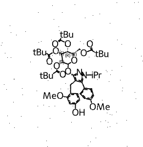 COc1ccc(-c2c(Cc3ccc(O)cc3OC)c(OC3O[C@H](COC(=O)C(C)(C)C)[C@@H](OC(=O)C(C)(C)C)[C@H](OC(=O)C(C)(C)C)[C@H]3OC(=O)C(C)(C)C)nn2C(C)C)cc1